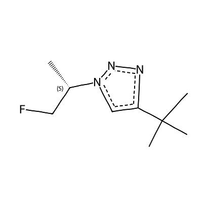 C[C@@H](CF)n1cc(C(C)(C)C)nn1